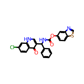 O=C(NC(c1ccccc1)c1c[nH]c2cc(Cl)ccc2c1=O)Oc1ccc2scnc2c1